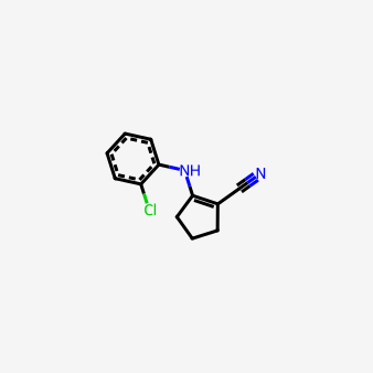 N#CC1=C(Nc2ccccc2Cl)CCC1